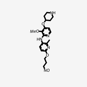 COc1c(OC2CCNCC2)ccnc1Nc1ccc(OCCCN=O)nc1C